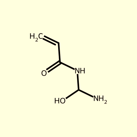 C=CC(=O)NC(N)O